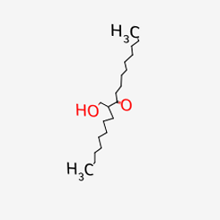 CCCCCCCCCC(=O)C(CO)CCCCCCCC